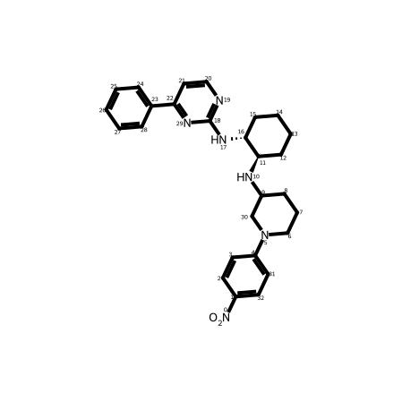 O=[N+]([O-])c1ccc(N2CCCC(N[C@@H]3CCCC[C@H]3Nc3nccc(-c4ccccc4)n3)C2)cc1